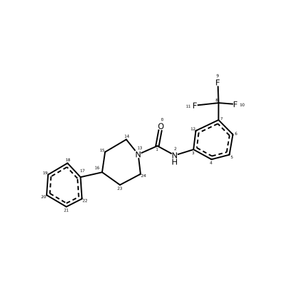 O=C(Nc1cccc(C(F)(F)F)c1)N1CCC(c2ccccc2)CC1